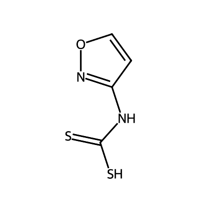 S=C(S)Nc1ccon1